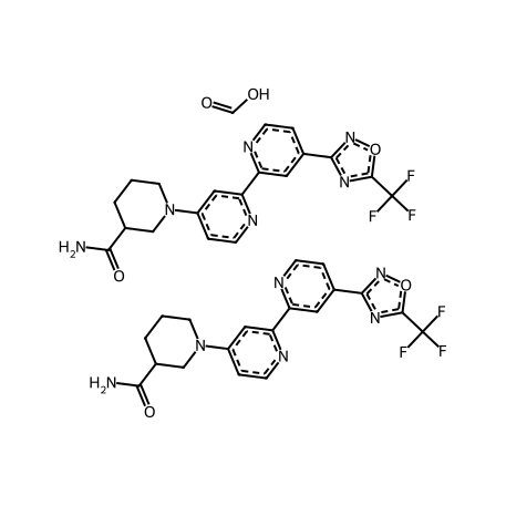 NC(=O)C1CCCN(c2ccnc(-c3cc(-c4noc(C(F)(F)F)n4)ccn3)c2)C1.NC(=O)C1CCCN(c2ccnc(-c3cc(-c4noc(C(F)(F)F)n4)ccn3)c2)C1.O=CO